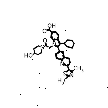 Cc1nc(C)c(-c2ccc3cc(-c4c(C5CCCCC5)c5ccc(C(=O)O)cc5n4CC(=O)N4CCC(O)CC4)ccc3n2)s1